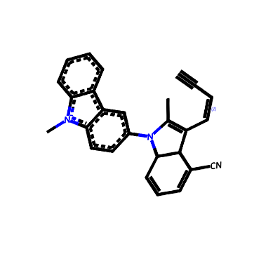 C#C/C=C\C1=C(C)N(c2ccc3c(c2)c2ccccc2n3C)C2C=CC=C(C#N)C12